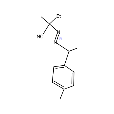 CCC(C)(C#N)/N=N/C(C)c1ccc(C)cc1